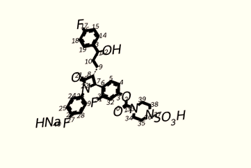 O=C(Oc1ccc([C@@H]2[C@@H](CC[C@H](O)c3ccc(F)cc3)C(=O)N2c2ccc(F)cc2)c(F)c1)N1CCN(S(=O)(=O)O)CC1.[NaH]